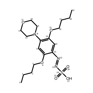 CCCCOc1cc(N2CCOCC2)c(OCCCC)cc1N=NS(=O)(=O)O